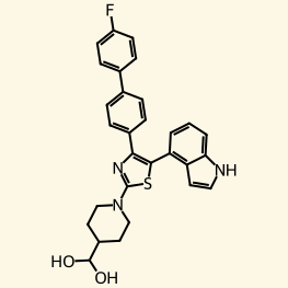 OC(O)C1CCN(c2nc(-c3ccc(-c4ccc(F)cc4)cc3)c(-c3cccc4[nH]ccc34)s2)CC1